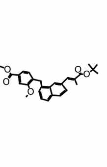 COC(=O)c1ccc(Cc2cccc3ccc(/C=C(\C)C(=O)OC(C)(C)C)cc23)c(OC)c1